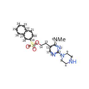 CNc1nc(N2CCNCC2)ncc1CCOS(=O)(=O)c1ccc2ccccc2c1